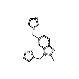 Cc1nc2ccc(Cn3ccnc3)cc2n1Cc1cccs1